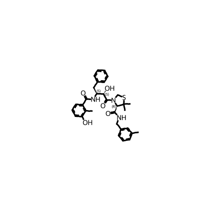 Cc1cccc(CNC(=O)[C@H]2N(C(=O)[C@@H](O)[C@H](Cc3ccccc3)NC(=O)c3cccc(O)c3C)CSC2(C)C)c1